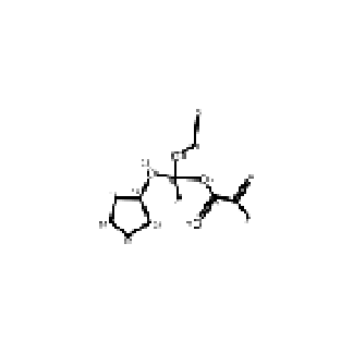 C=C(C)C(=O)OC(C)(OCC)OC1CCCC1